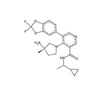 CC(NC(=O)c1cncc(-c2ccc3c(c2)OC(F)(F)O3)c1N1CC[C@](C)(N)C1)C1CC1